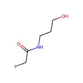 O=C(CI)NCCCO